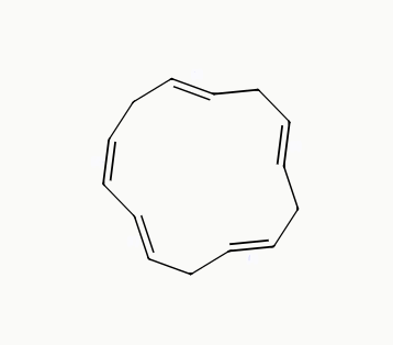 [C]1=C/C=C\C/C=C/C/C=C/C/C=C/C/1